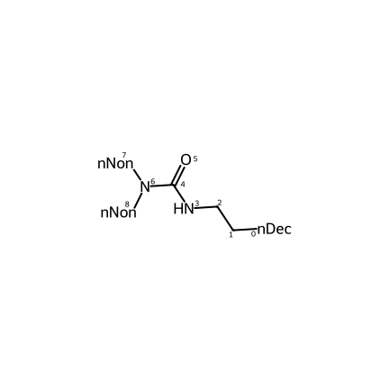 CCCCCCCCCCCCNC(=O)N(CCCCCCCCC)CCCCCCCCC